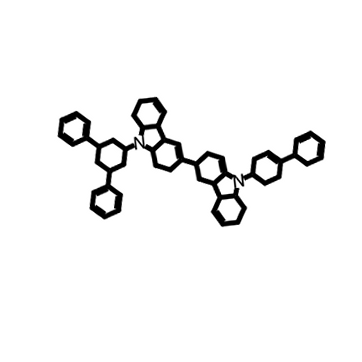 C1=CCC(C2=CCC(N3C4=CCC(C5=CC6C7C=CCCC7N(C7CC(c8ccccc8)CC(c8ccccc8)C7)C6CC5)CC4C4C=CCCC43)CC2)C=C1